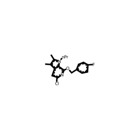 CCCn1c(C)c(C)c2cc(Cl)nc(OCc3ccc(F)cc3)c21